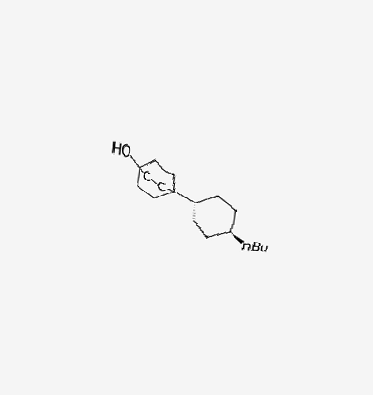 CCCC[C@H]1CC[C@H](C23CCC(O)(CC2)CC3)CC1